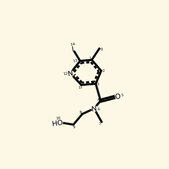 Cc1cc(C(=O)N(C)CCO)cnc1I